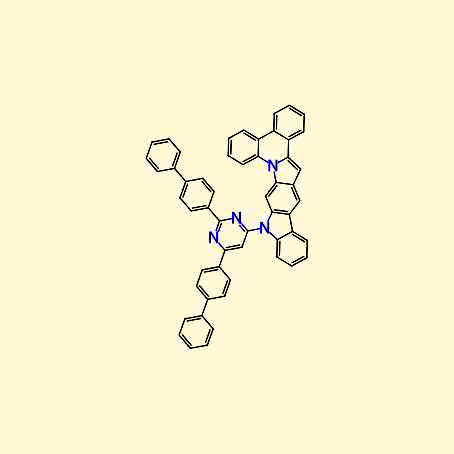 c1ccc(-c2ccc(-c3cc(-n4c5ccccc5c5cc6cc7c8ccccc8c8ccccc8n7c6cc54)nc(-c4ccc(-c5ccccc5)cc4)n3)cc2)cc1